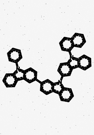 c1ccc(-n2c3ccccc3c3cc(-c4ccc5c6ccccc6n(-c6ccc7c(c6)c6ccccc6n7-c6cccc7ccccc67)c5c4)ccc32)cc1